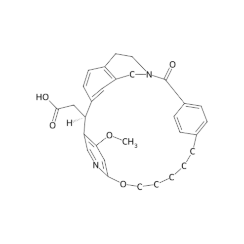 COc1cc2ncc1[C@@H](CC(=O)O)c1ccc3c(c1)CN(CC3)C(=O)c1ccc(cc1)CCCCCO2